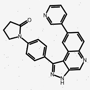 O=C1CCCN1c1ccc(-c2n[nH]c3cnc4ccc(-c5cccnc5)cc4c23)cc1